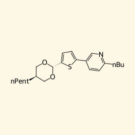 CCCCC[C@H]1CO[C@H](c2ccc(-c3ccc(CCCC)nc3)s2)OC1